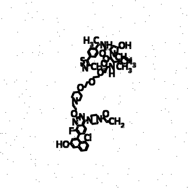 C=CC(=O)N1CCN(c2nc(OCCN3CCC(OCCOCCOCC(=O)N[C@H](C(=O)N4C[C@H](O)C[C@H]4C(=O)N[C@@H](C)c4ccc(-c5scnc5C)cc4)C(C)(C)C)CC3)nc3c(F)c(-c4cc(O)cc5ccccc45)c(Cl)cc23)CC1